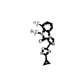 Cc1cccc2c1n(C)c(=O)c1c(-c3nc(C4CC4)no3)ncn12